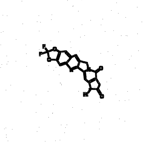 CC[C]1C(=O)Cc2c1cc1n(c2=O)Cc2cc3cc4c(cc3nc2-1)OC(F)(F)O4